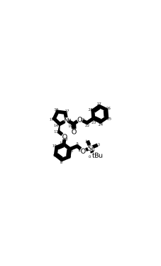 CC(C)(C)[Si](C)(C)OCc1ccccc1OC[C@H]1CCCN1C(=O)OCc1ccccc1